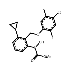 CCc1cc(F)c(OCc2c(C3CC3)cccc2N(O)C(=O)OC)cc1C